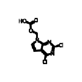 O=C(O)OCn1ccc2c(Cl)nc(Cl)nc21